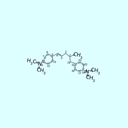 CC(CC=Cc1ccc(N(C)C)cc1)Cc1ccc(N(C)C)cc1